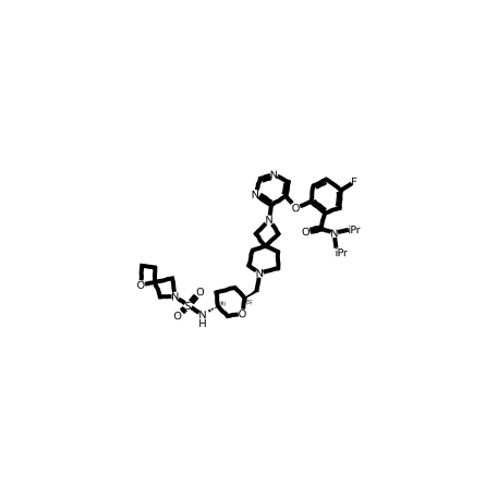 CC(C)N(C(=O)c1cc(F)ccc1Oc1cncnc1N1CC2(CCN(C[C@@H]3CC[C@@H](NS(=O)(=O)N4CC5(CCO5)C4)CO3)CC2)C1)C(C)C